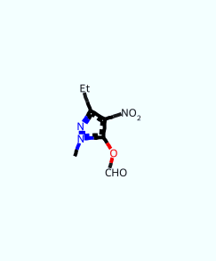 CCc1nn(C)c(OC=O)c1[N+](=O)[O-]